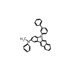 CN(c1ccccc1)c1ccc2c(c1)c1cc3ccccc3cc1n2-c1cccc(-c2ccccc2)c1